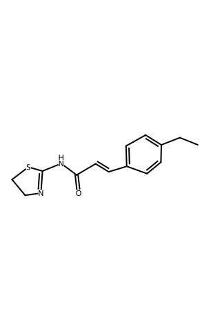 CCc1ccc(C=CC(=O)NC2=NCCS2)cc1